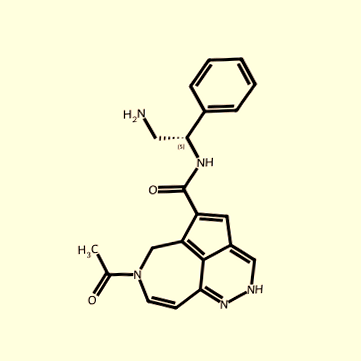 CC(=O)N1C=Cc2n[nH]cc3cc(C(=O)N[C@H](CN)c4ccccc4)c(c2-3)C1